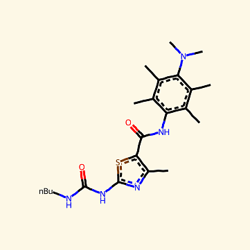 CCCCNC(=O)Nc1nc(C)c(C(=O)Nc2c(C)c(C)c(N(C)C)c(C)c2C)s1